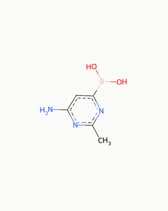 Cc1nc(N)cc(B(O)O)n1